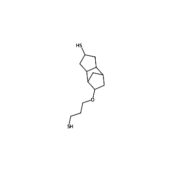 SCCCOC1CC2CC1C1CC(S)CC21